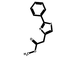 COC(=O)Cc1csc(-c2ccccc2)n1